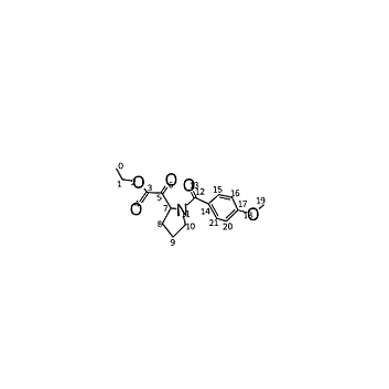 CCOC(=O)C(=O)C1CCCN1C(=O)c1ccc(OC)cc1